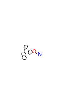 CN(C)CCOc1ccc(C2=C(c3ccccc3)CCc3ccccc32)cc1